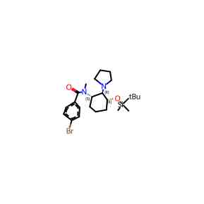 CN(C(=O)c1ccc(Br)cc1)[C@H]1CCC[C@@H](O[Si](C)(C)C(C)(C)C)[C@@H]1N1CCCC1